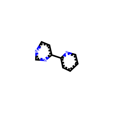 c1ccc(-c2ccncn2)nc1